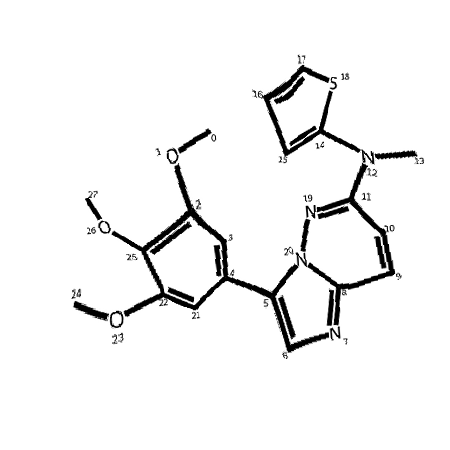 COc1cc(-c2cnc3ccc(N(C)c4cccs4)nn23)cc(OC)c1OC